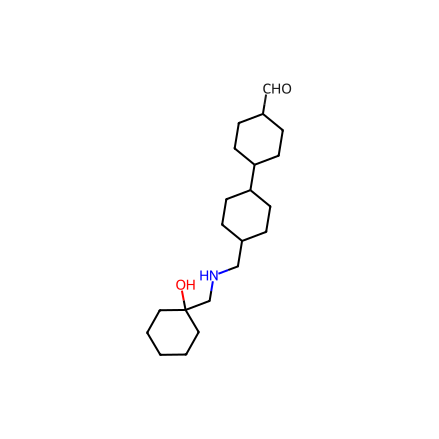 O=CC1CCC(C2CCC(CNCC3(O)CCCCC3)CC2)CC1